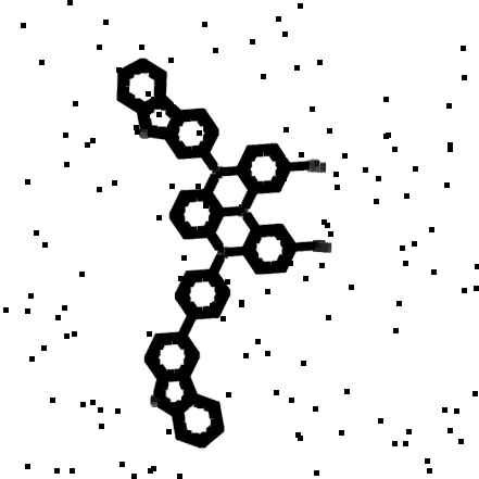 CC(C)(C)c1ccc2c(c1)B1c3cc(C(C)(C)C)ccc3N(c3ccc4c(c3)oc3ccccc34)c3cccc(c31)N2c1ccc(-c2ccc3oc4ccccc4c3c2)cc1